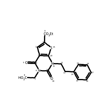 CCOC(=O)c1cc2c(=O)n(CC(=O)O)c(=O)n(CCc3ccccc3)c2s1